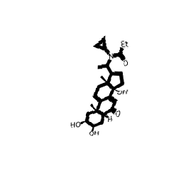 CCC(=O)N(C1CC1)C(C)C1CC[C@@]2(O)C3=CC(=O)[C@@H]4C[C@@H](O)[C@@H](O)C[C@]4(C)C3CC[C@]12C